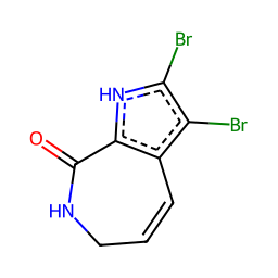 O=C1NCC=Cc2c1[nH]c(Br)c2Br